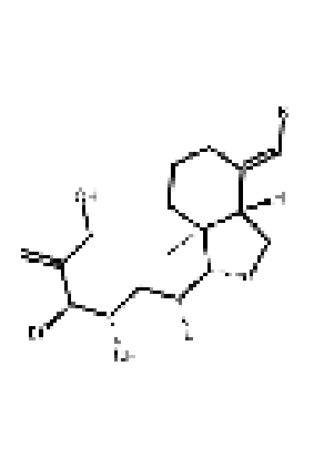 C=C(CO)[C@H](CC)[C@@H](O)C[C@@H](C)[C@H]1CC[C@H]2/C(=C/Br)CCC[C@]12C